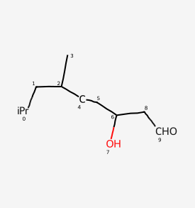 CC(C)CC(C)CCC(O)CC=O